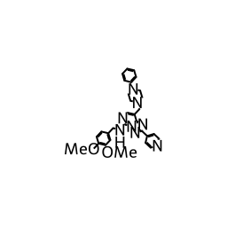 COc1ccc(CNc2ncc(CN3CCN(c4ccccc4)CC3)c3nc(-c4ccncc4)nn23)cc1OC